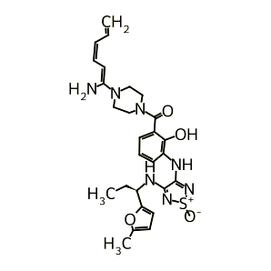 C=C/C=C\C=C(/N)N1CCN(C(=O)c2cccc(Nc3n[s+]([O-])nc3N[C@H](CC)c3ccc(C)o3)c2O)CC1